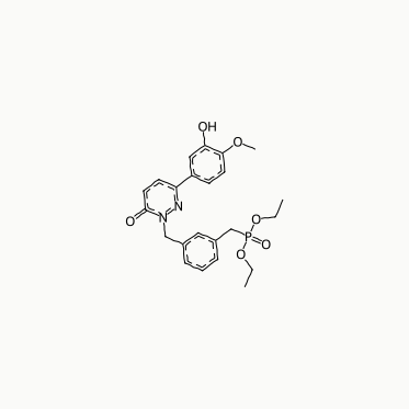 CCOP(=O)(Cc1cccc(Cn2nc(-c3ccc(OC)c(O)c3)ccc2=O)c1)OCC